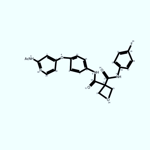 CC(=O)Nc1cc(Oc2ccc(NC(=O)C3(C(=O)Nc4ccc(F)cc4)COC3)cc2)ccn1